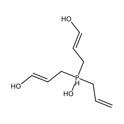 C=CC[PH](O)(CC=CO)CC=CO